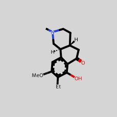 CCc1c(OC)cc2c(c1O)C(=O)C[C@H]1CCN(C)C[C@H]21